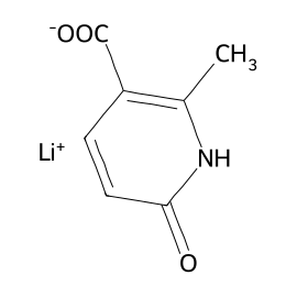 Cc1[nH]c(=O)ccc1C(=O)[O-].[Li+]